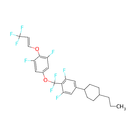 CCCC1CCC(c2cc(F)c(C(F)(F)Oc3cc(F)c(O/C=C/C(F)(F)F)c(F)c3)c(F)c2)CC1